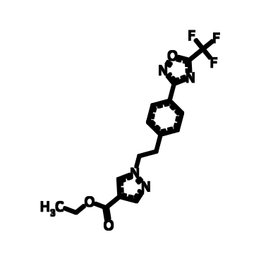 CCOC(=O)c1cnn(CCc2ccc(-c3noc(C(F)(F)F)n3)cc2)c1